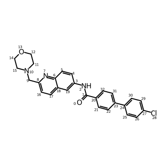 O=C(Nc1ccc2nc(CN3CCOCC3)ccc2c1)c1ccc(-c2ccc(Cl)cc2)cc1